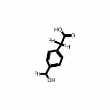 [2H]C(O)c1ccc(C([2H])([2H])C(=O)O)cc1